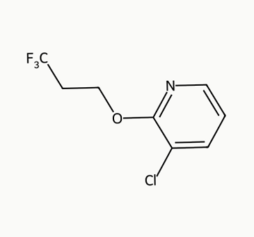 FC(F)(F)CCOc1ncccc1Cl